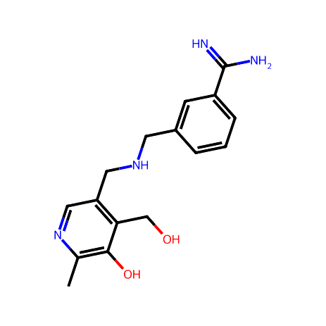 Cc1ncc(CNCc2cccc(C(=N)N)c2)c(CO)c1O